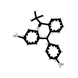 CC(C)(C)C(=O)c1ccccc1C(c1ccc(O)cc1)c1ccc(O)cc1